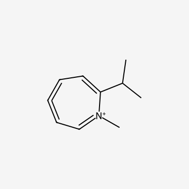 CC(C)C1=CC=C=CC=[N+]1C